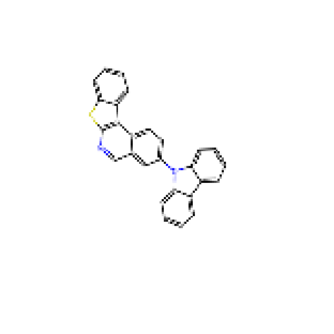 c1ccc2c(c1)sc1ncc3cc(-n4c5ccccc5c5ccccc54)ccc3c12